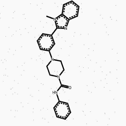 Cn1c(-c2cccc(N3CCN(C(=O)Nc4ccccc4)CC3)c2)nc2ccccc21